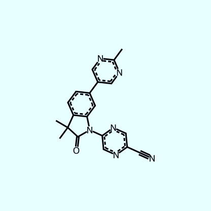 Cc1ncc(-c2ccc3c(c2)N(c2cnc(C#N)cn2)C(=O)C3(C)C)cn1